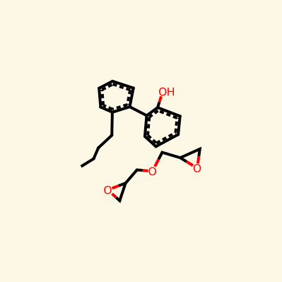 C(OCC1CO1)C1CO1.CCCCc1ccccc1-c1ccccc1O